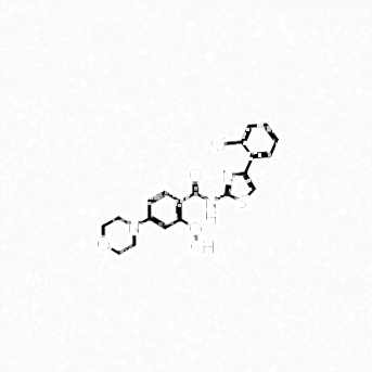 COc1cc(N2CCOCC2)ccc1C(=O)Nc1nc(-c2ccccc2Cl)cs1